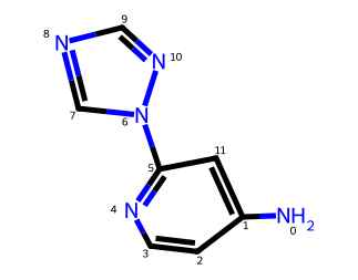 Nc1ccnc(-n2cncn2)c1